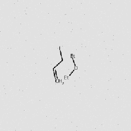 C=CCI.CCOCC